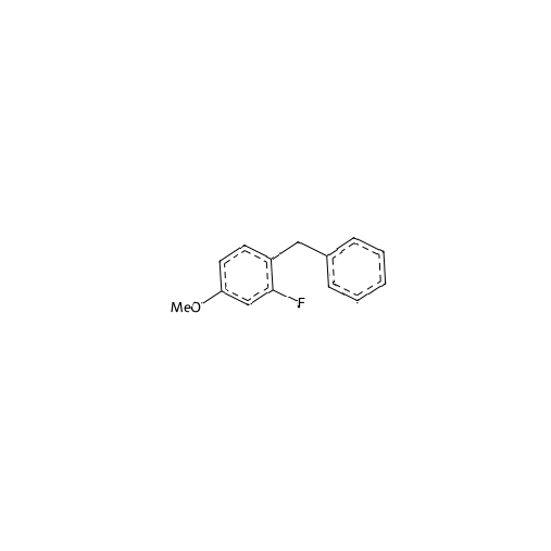 COc1ccc(Cc2c[c]ccc2)c(F)c1